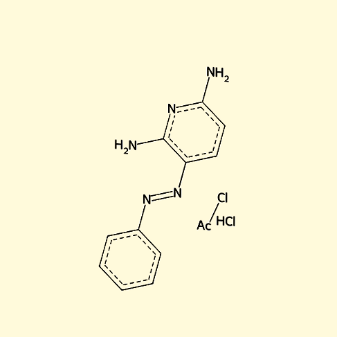 CC(=O)Cl.Cl.Nc1ccc(/N=N/c2ccccc2)c(N)n1